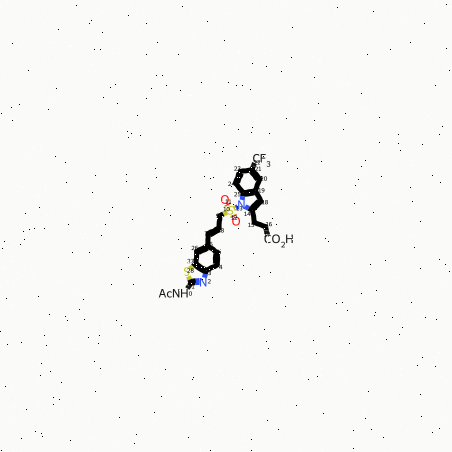 CC(=O)Nc1nc2ccc(C=CCS(=O)(=O)n3c(CCC(=O)O)cc4cc(C(F)(F)F)ccc43)cc2s1